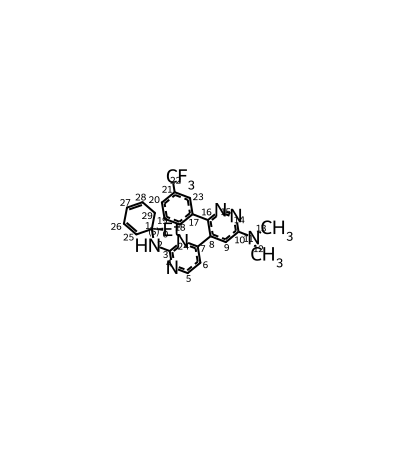 CC[C@@]1(Nc2nccc(-c3cc(N(C)C)nnc3-c3cccc(C(F)(F)F)c3)n2)C=CC=CC1